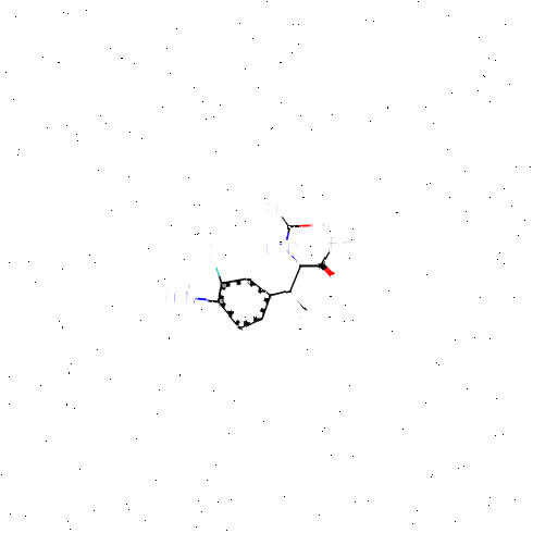 BC(=O)[C@H](NC(O)CC)[C@@H](C)c1ccc(N)c(F)c1